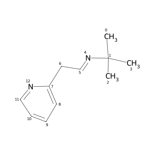 CC(C)(C)N=CCc1ccccn1